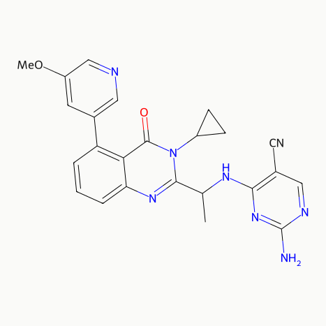 COc1cncc(-c2cccc3nc(C(C)Nc4nc(N)ncc4C#N)n(C4CC4)c(=O)c23)c1